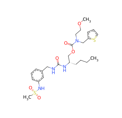 CCCC[C@@H](COC(=O)N(CCOC)Cc1cccs1)NC(=O)NCc1cccc(NS(C)(=O)=O)c1